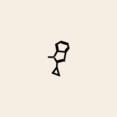 Cn1c(C2CC2)nc2c[c]ccc21